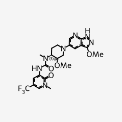 COc1n[nH]c2ncc(N3CC[C@H](N(C)C(=O)Nc4cc(C(F)(F)F)cn(C)c4=O)[C@H](OC)C3)cc12